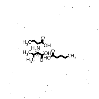 CC(C)[C@H](N)C(=O)O.CCCC(=O)O.CCCCC(=O)O